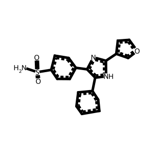 NS(=O)(=O)c1ccc(-c2nc(-c3ccoc3)[nH]c2-c2ccccc2)cc1